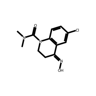 CN(C)C(=O)N1CCC(=NO)c2cc(Cl)ccc21